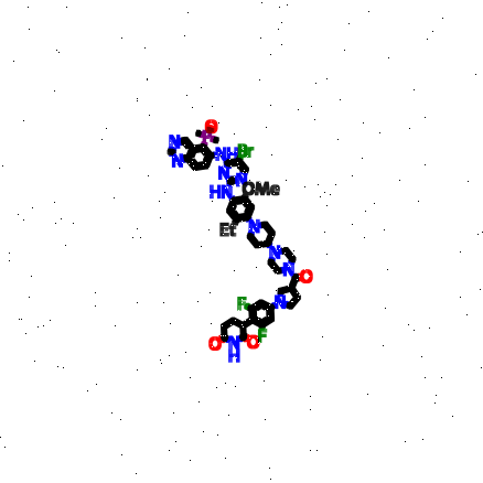 CCc1cc(Nc2ncc(Br)c(Nc3ccc4ncncc4c3P(C)(C)=O)n2)c(OC)cc1N1CCC(N2CCN(C(=O)C3CCN(c4cc(F)c(C5CCC(=O)NC5=O)c(F)c4)C3)CC2)CC1